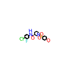 COc1ccc(S(=O)(=O)N2CCC[C@H](C(=O)Nc3ccc(Cl)c(F)c3)C2)cc1